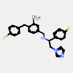 O=C(O)c1cc(CNC(Cn2ccnc2)c2ccc(F)cc2)ccc1Cc1ccc(F)cc1